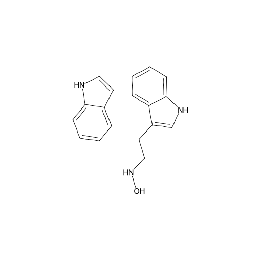 ONCCc1c[nH]c2ccccc12.c1ccc2[nH]ccc2c1